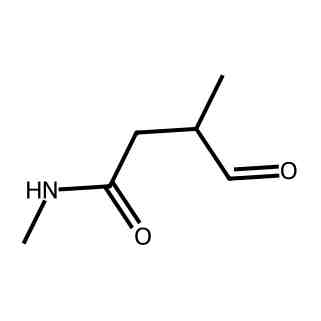 CNC(=O)CC(C)C=O